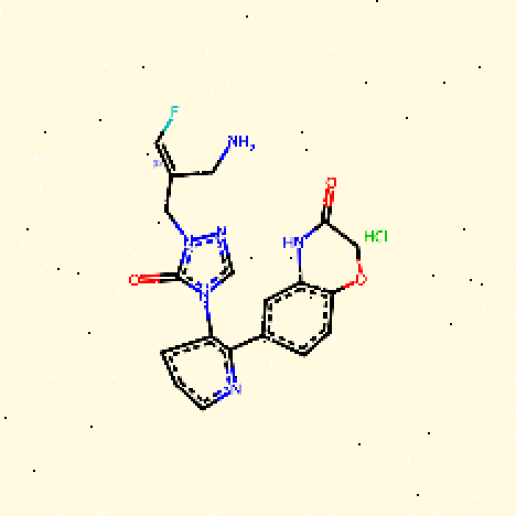 Cl.NC/C(=C\F)Cn1ncn(-c2cccnc2-c2ccc3c(c2)NC(=O)CO3)c1=O